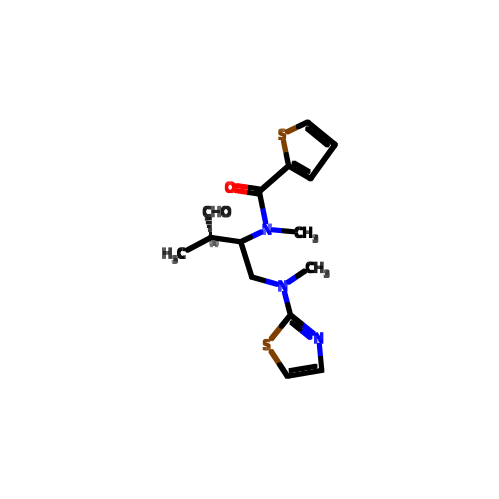 C[C@H](C=O)C(CN(C)c1nccs1)N(C)C(=O)c1cccs1